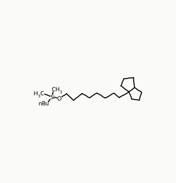 CCCC[Si](C)(C)OCCCCCCCCC12CCCC1CCC2